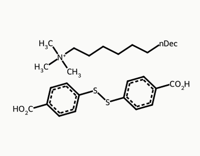 CCCCCCCCCCCCCCCC[N+](C)(C)C.O=C(O)c1ccc(SSc2ccc(C(=O)O)cc2)cc1